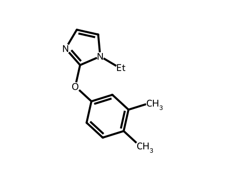 CCn1ccnc1Oc1ccc(C)c(C)c1